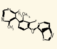 Cc1ncnc(C)c1-c1ccc(Oc2nccc3ncsc23)c(F)c1C